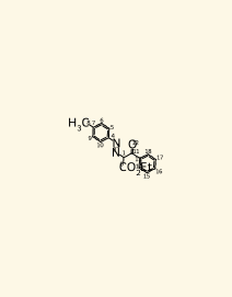 CCOC(=O)C(/N=N/c1ccc(C)cc1)C(=O)c1ccccc1